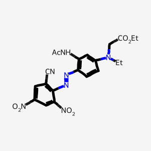 CCOC(=O)CN(CC)c1ccc(/N=N/c2c(C#N)cc([N+](=O)[O-])cc2[N+](=O)[O-])c(NC(C)=O)c1